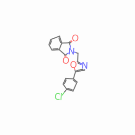 O=C1c2ccccc2C(=O)N1Cc1ncc(-c2ccc(Cl)cc2)o1